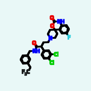 O=C1Nc2ccc(F)cc2C2(CCN(CCC(C(=O)NCc3cccc(CC(F)(F)F)c3)c3ccc(Cl)c(Cl)c3)CC2)O1